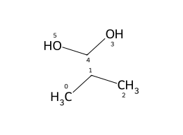 CCC.OCO